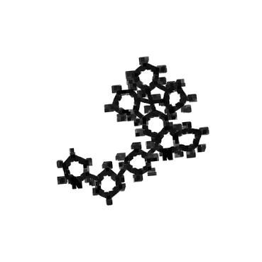 c1ccc(-c2cccc(-c3ccc(-c4nc5ccccc5c5cc6c(cc45)-c4ccccc4C64c5ccccc5-c5ccccc54)cc3)c2)nc1